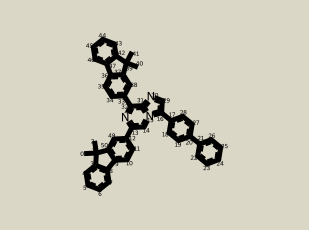 CC1(C)c2ccccc2-c2ccc(-c3cn4c(-c5ccc(-c6ccccc6)cc5)cnc4c(-c4ccc5c(c4)C(C)(C)c4ccccc4-5)n3)cc21